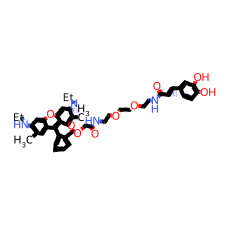 CC/N=c1\cc2oc3cc(NCC)c(C)cc3c(-c3ccccc3C(=O)OCC(=O)NCCOCCOCCNC(=O)/C=C/c3ccc(O)c(O)c3)c-2cc1C